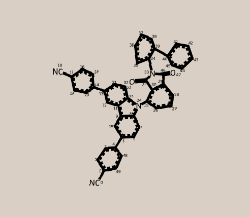 N#Cc1ccc(-c2ccc3c(c2)c2cc(-c4ccc(C#N)cc4)ccc2n3-c2cccc3c2C(=O)N(c2ccccc2-c2ccccc2)C3=O)cc1